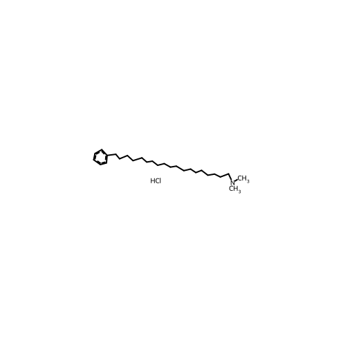 CN(C)CCCCCCCCCCCCCCCCCCCc1ccccc1.Cl